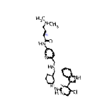 CN(C)C/C=C/C(=O)Nc1ccc(CNCC2CCC[C@@H](Nc3ncc(Cl)c(-c4c[nH]c5ccccc45)n3)C2)nc1